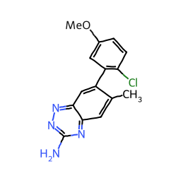 COc1ccc(Cl)c(-c2cc3nnc(N)nc3cc2C)c1